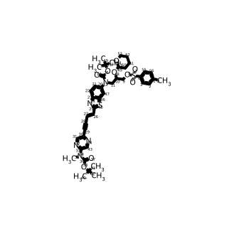 Cc1ccc(S(=O)(=O)OCC(CN(C(=O)OC(C)(C)C)c2ccc3nc(C=CC#Cc4cnc(N(C)C(=O)OC(C)(C)C)cn4)sc3c2)OC2CCCCO2)cc1